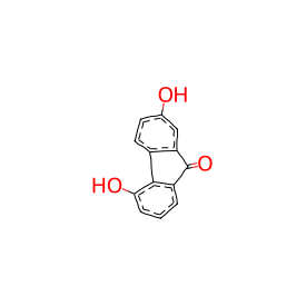 O=C1c2cc(O)ccc2-c2c(O)cccc21